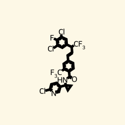 O=C(NC1(c2ccc(Cl)nc2)CC1)c1ccc(/C=C/C(c2cc(Cl)c(F)c(Cl)c2)C(F)(F)F)cc1C(F)(F)F